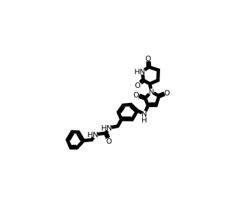 O=C1CCC(N2C(=O)C=C(Nc3cccc(CNC(=O)NCc4ccccc4)c3)C2=O)C(=O)N1